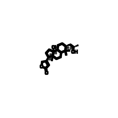 C[C@H](O)C[C@H]1CCC2C(CC[C@]3(C)[C@@H](C4=CC(=O)OC4)CC[C@@]23O)C1(C)C